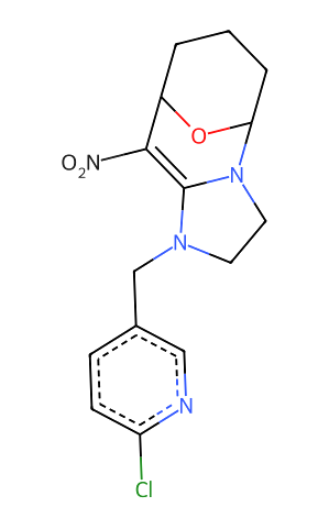 O=[N+]([O-])C1=C2N(Cc3ccc(Cl)nc3)CCN2C2CCCC1O2